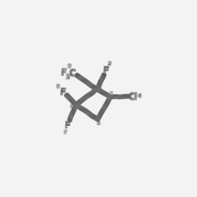 FC(F)(F)C1(F)C(Cl)CC1(F)F